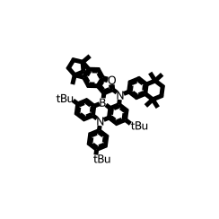 CC(C)(C)c1ccc(N2c3ccc(C(C)(C)C)cc3B3c4c2cc(C(C)(C)C)cc4N(c2ccc4c(c2)C(C)(C)CCC4(C)C)c2oc4cc5c(cc4c23)C2(C)CCC5(C)C2)cc1